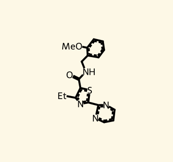 CCc1nc(-c2ncccn2)sc1C(=O)NCc1ccccc1OC